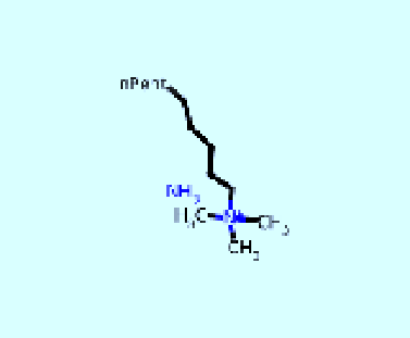 CCCCCCCCCC[N+](C)(C)C.N